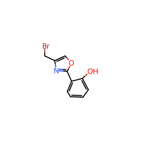 Oc1ccccc1-c1nc(CBr)co1